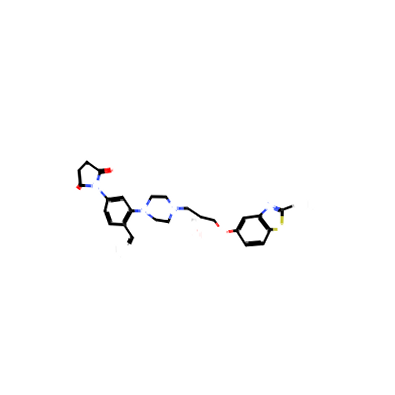 C=Cc1ccc(N2C(=O)CCC2=O)cc1N1CCN(C[C@@H](O)COc2ccc3sc(C)nc3c2)CC1